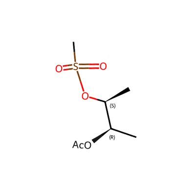 CC(=O)O[C@H](C)[C@H](C)OS(C)(=O)=O